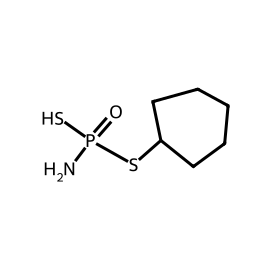 NP(=O)(S)SC1CCCCC1